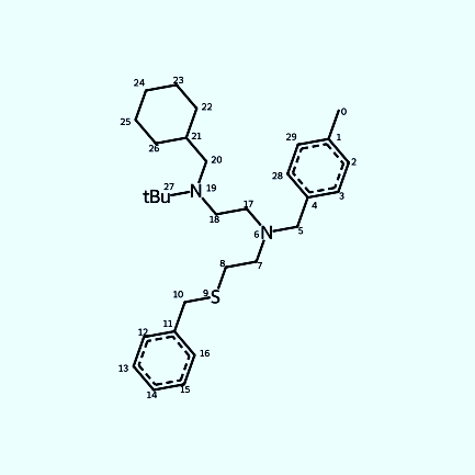 Cc1ccc(CN(CCSCc2ccccc2)CCN(CC2CCCCC2)C(C)(C)C)cc1